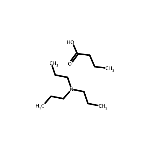 CCCC(=O)O.CCCN(CCC)CCC